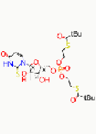 CC(C)(C)C(=O)SCCOP(=O)(OCCSC(=O)C(C)(C)C)OC[C@H]1O[C@@H](n2ccc(=O)[nH]c2=S)C(C)(O)[C@H]1O